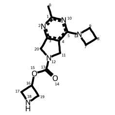 Cc1nc2c(c(N3CCC3)n1)CN(C(=O)OC1CNC1)C2